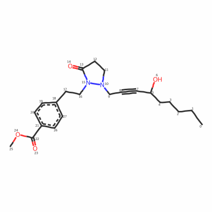 CCCCCC(O)C#CCN1CCC(=O)N1CCc1ccc(C(=O)OC)cc1